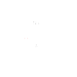 CC.CC.[Na+].[O]=[Al][O-]